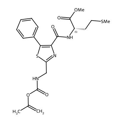 C=C(C)OC(=O)NCc1nc(C(=O)N[C@@H](CCSC)C(=O)OC)c(-c2ccccc2)s1